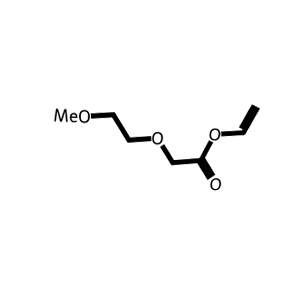 C=COC(=O)COCCOC